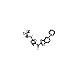 C[C@@H](N[SH](=O)=O)c1nnc(C(=O)c2nc3ccc(-c4ccccc4)cc3s2)o1